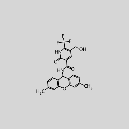 Cc1ccc2c(c1)Oc1cc(C)ccc1C2NC(=O)c1cc(CO)c(C(F)(F)F)[nH]c1=O